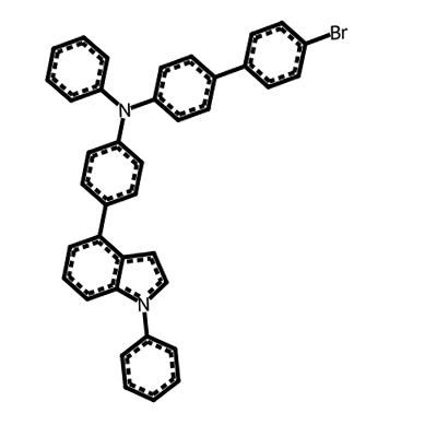 Brc1ccc(-c2ccc(N(c3ccccc3)c3ccc(-c4cccc5c4ccn5-c4ccccc4)cc3)cc2)cc1